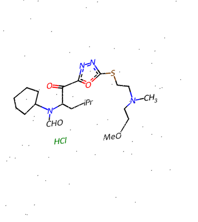 COCCN(C)CCSc1nnc(C(=O)C(CC(C)C)N(C=O)C2CCCCC2)o1.Cl